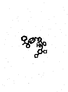 CC(C(=O)N1CCN(Cc2ccc(C(=O)NCc3ccc(Cl)cc3Cl)s2)CC1)c1ccccc1